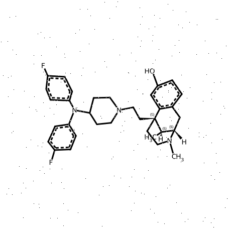 C[C@@H]1[C@@H]2Cc3ccc(O)cc3[C@@]1(CCN1CCC(N(c3ccc(F)cc3)c3ccc(F)cc3)CC1)CCN2C